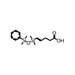 C[Si](C)(/C=C/CCC(=O)O)O[Si](C)(C)c1ccccc1